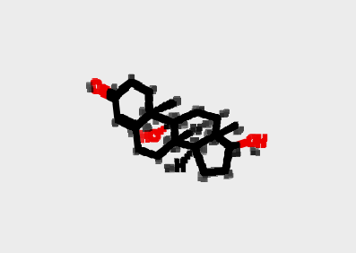 C[C@]12CCC(=O)C=C1CC[C@H]1[C@@H]3CCC(O)[C@@]3(C)CC[C@@]12O